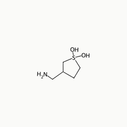 NCC1CCS(O)(O)C1